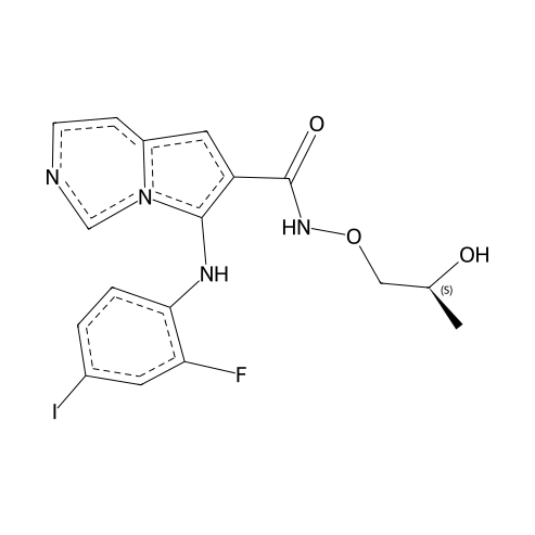 C[C@H](O)CONC(=O)c1cc2ccncn2c1Nc1ccc(I)cc1F